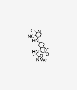 CNC(=O)C(C)Nc1cc(=O)n(C)c2ccc(Nc3ccnc(Cl)c3C#N)cc12